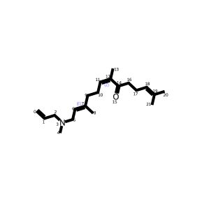 C=CCN(C)C/C=C(\C)CC/C=C(/C)C(=O)CCC=C(C)C